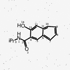 CC(C)NC(=O)c1cc2ccccc2cc1O